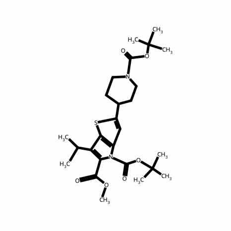 COC(=O)c1c(C(C)C)c2sc(C3CCN(C(=O)OC(C)(C)C)CC3)cc2n1C(=O)OC(C)(C)C